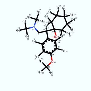 [2H]c1c([2H])c([C@@]([2H])(CN(C([2H])([2H])[2H])C([2H])([2H])[2H])C2(O)C([2H])([2H])C([2H])([2H])C([2H])([2H])C([2H])([2H])C2([2H])[2H])c([2H])c([2H])c1OC([2H])([2H])[2H]